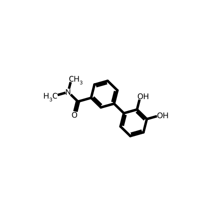 CN(C)C(=O)c1cccc(-c2cccc(O)c2O)c1